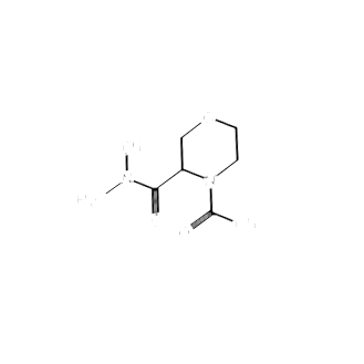 CN(C)C(=O)C1COCCN1C(=O)O